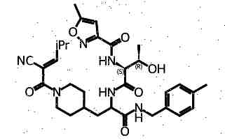 Cc1ccc(CNC(=O)C(CC2CCN(C(=O)C(C#N)=CC(C)C)CC2)NC(=O)[C@@H](NC(=O)c2cc(C)on2)[C@@H](C)O)cc1